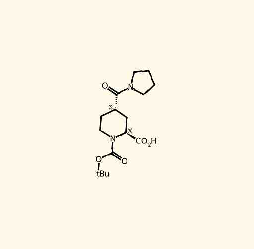 CC(C)(C)OC(=O)N1CC[C@H](C(=O)N2CCCC2)C[C@H]1C(=O)O